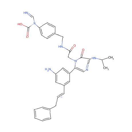 CC(C)Nc1ncc(-c2cc(N)cc(/C=C/Cc3ccccc3)c2)n(CC(=O)NCc2ccc(N(C=N)C(=O)O)cc2)c1=O